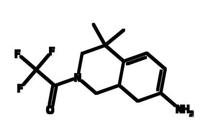 CC1(C)CN(C(=O)C(F)(F)F)CC2CC(N)=CC=C21